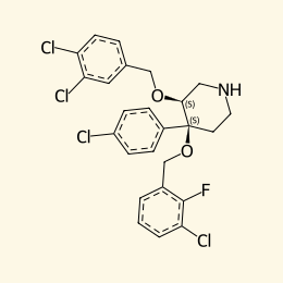 Fc1c(Cl)cccc1CO[C@]1(c2ccc(Cl)cc2)CCNC[C@@H]1OCc1ccc(Cl)c(Cl)c1